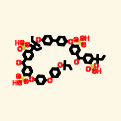 CCC(C)(C)Oc1ccc(Oc2ccc(Oc3ccc(C(=O)c4ccc(C(C)(CC)C(C)(CC)Oc5ccc(-c6ccc(Oc7ccc(C(=O)c8ccc(C(C)(C)CC)c(S(=O)(=O)O)c8)cc7S(=O)(=O)O)cc6)cc5)c(S(=O)(=O)O)c4)cc3S(=O)(=O)O)cc2)cc1